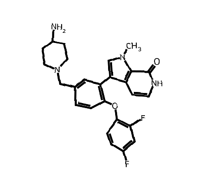 Cn1cc(-c2cc(CN3CCC(N)CC3)ccc2Oc2ccc(F)cc2F)c2cc[nH]c(=O)c21